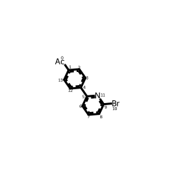 CC(=O)c1ccc(-c2cccc(Br)n2)cc1